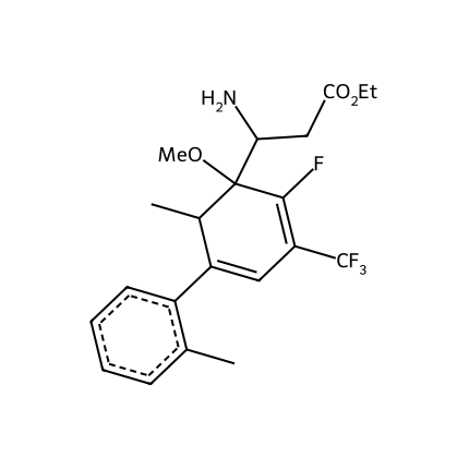 CCOC(=O)CC(N)C1(OC)C(F)=C(C(F)(F)F)C=C(c2ccccc2C)C1C